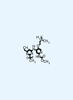 CCc1cc(Nc2cc(NC(=O)OC)ncc2OCCN(C)C)nc(C(C)(F)F)n1